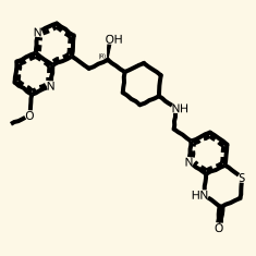 COc1ccc2nccc(C[C@@H](O)C3CCC(NCc4ccc5c(n4)NC(=O)CS5)CC3)c2n1